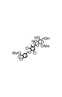 COC(=O)c1cc(COc2c(Cl)cc(C(=O)O[C@H]3[C@@H](OC)O[C@H](CO)[C@@H](O)[C@@H]3O)c(C)c2Cl)ccc1Cl